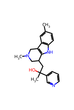 Cc1ccc2[nH]c3c(c2c1)CN(C)CC3CC(C)(O)c1cccnc1